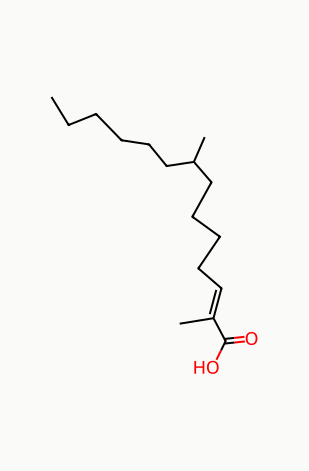 CCCCCCC(C)CCCC/C=C(\C)C(=O)O